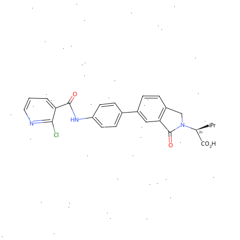 CC(C)[C@@H](C(=O)O)N1Cc2ccc(-c3ccc(NC(=O)c4cccnc4Cl)cc3)cc2C1=O